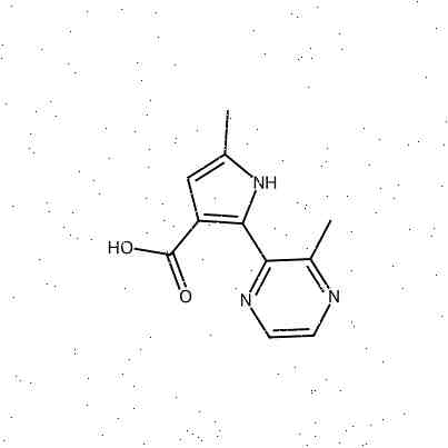 Cc1cc(C(=O)O)c(-c2nccnc2C)[nH]1